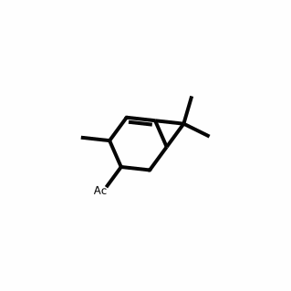 CC(=O)C1CC2C(=CC1C)C2(C)C